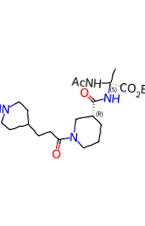 CCOC(=O)[C@@](C)(NC(C)=O)NC(=O)[C@@H]1CCCN(C(=O)CCC2CCNCC2)C1